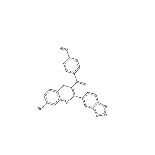 COc1ccc(C(=O)/C(Cc2ccc(C#N)cc2)=C(/C(=O)O)c2ccc3nonc3c2)cc1